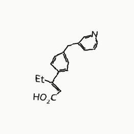 CCC(=CC(=O)O)c1ccc(Cc2cccnc2)cc1